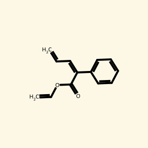 C=CC=C(C(=O)OC=C)c1ccccc1